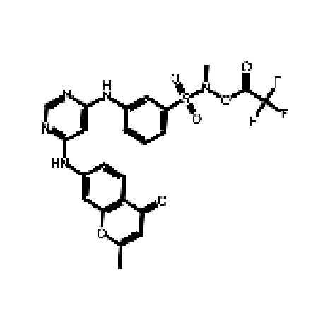 Cc1cc(=O)c2ccc(Nc3cc(Nc4cccc(S(=O)(=O)N(C)OC(=O)C(F)(F)F)c4)ncn3)cc2o1